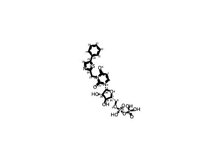 O=c1ccn([C@@H]2O[C@H](COP(=O)(O)OP(=O)(O)O)C(O)[C@@H]2O)c(=O)n1Cc1ncc(-c2ccccc2)s1